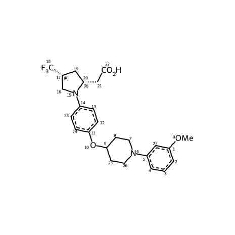 COc1cccc(N2CCC(Oc3ccc(N4C[C@H](C(F)(F)F)C[C@@H]4CC(=O)O)cc3)CC2)c1